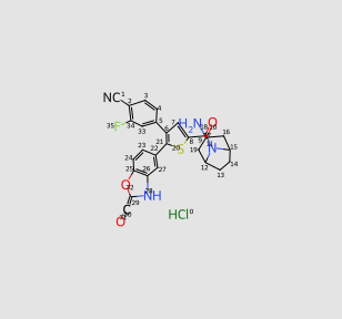 Cl.N#Cc1ccc(-c2cc(C(=O)N3C4CCC3CC(N)C4)sc2-c2ccc3c(c2)NC(=C=O)O3)cc1F